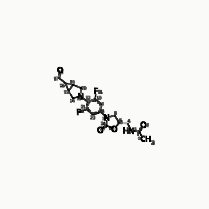 CC(=O)NC[C@H]1CN(c2cc(F)c(N3CC4C(C=O)C4C3)c(F)c2)C(=O)O1